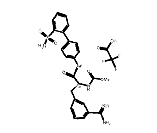 COC(=O)N[C@@H](Cc1cccc(C(=N)N)c1)C(=O)Nc1ccc(-c2ccccc2S(N)(=O)=O)cc1.O=C(O)C(F)(F)F